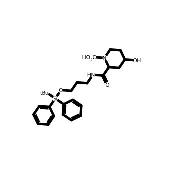 CC(C)(C)[Si](OCCCNC(=O)C1CC(O)CCN1C(=O)O)(c1ccccc1)c1ccccc1